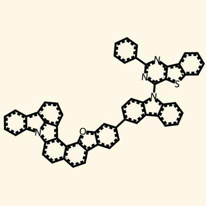 c1ccc(-c2nc(-n3c4ccccc4c4cc(-c5ccc6c(c5)oc5c6ccc6ccc7c(c8cccc9c%10ccccc%10n7c98)c65)ccc43)c3sc4ccccc4c3n2)cc1